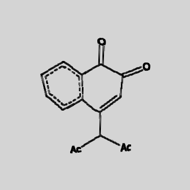 CC(=O)C(C(C)=O)C1=CC(=O)C(=O)c2ccccc21